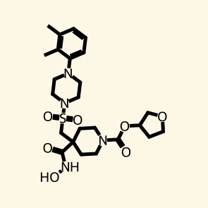 Cc1cccc(N2CCN(S(=O)(=O)CC3(C(=O)NO)CCN(C(=O)OC4CCOC4)CC3)CC2)c1C